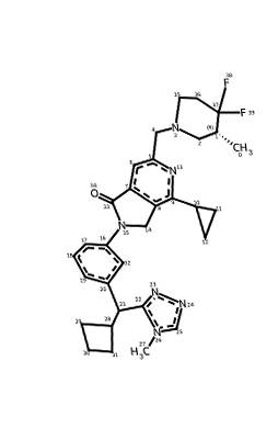 C[C@@H]1CN(Cc2cc3c(c(C4CC4)n2)CN(c2cccc(C(c4nncn4C)C4CCC4)c2)C3=O)CCC1(F)F